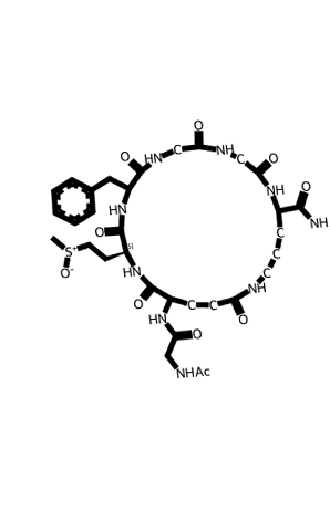 CC(=O)NCC(=O)NC1CCC(=O)NCCCC(C(N)=O)NC(=O)CNC(=O)CNC(=O)C(Cc2ccccc2)NC(=O)[C@H](CC[S+](C)[O-])NC1=O